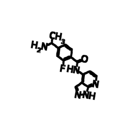 CC(N)c1ccc(C(=O)Nc2ccnc3[nH]ncc23)c(F)c1